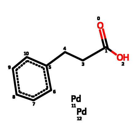 O=C(O)CCc1ccccc1.[Pd].[Pd]